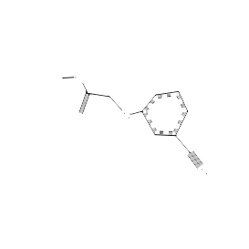 COC(=O)CNc1cccc(C#N)c1